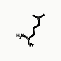 CCCN(N)CCCN(C)C